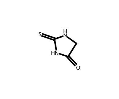 O=C1[CH]NC(=S)N1